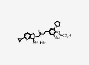 Br.CC(C)(C)c1cc(CCC(=O)CN2Cc3ccc(C4CC4)nc3C2=N)cc(N2CCCC2)c1OCC(=O)O